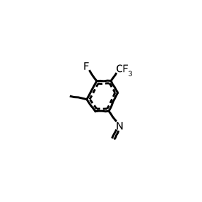 C=Nc1cc(C)c(F)c(C(F)(F)F)c1